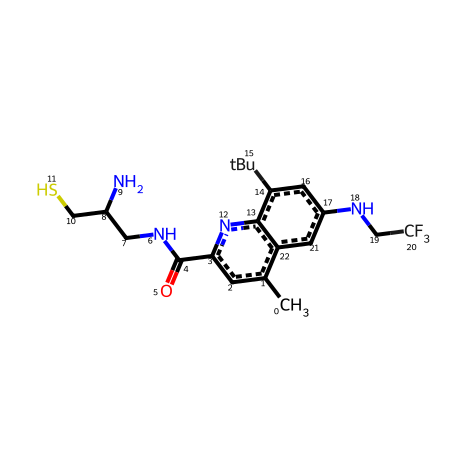 Cc1cc(C(=O)NCC(N)CS)nc2c(C(C)(C)C)cc(NCC(F)(F)F)cc12